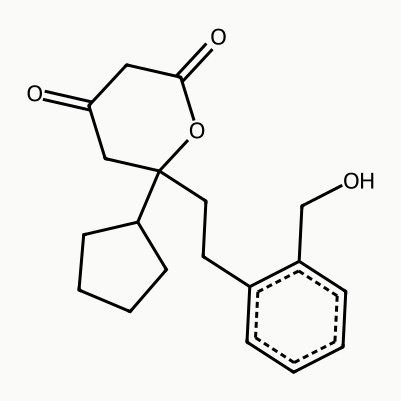 O=C1CC(=O)OC(CCc2ccccc2CO)(C2CCCC2)C1